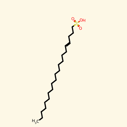 CCCCCCCCCCCCCCCC/C=C/CCCS(=O)(=O)O